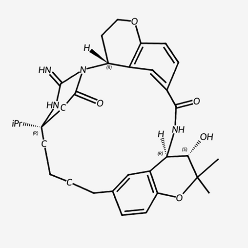 CC(C)[C@]12CCCCc3ccc4c(c3)[C@@H](NC(=O)c3ccc5c(c3)[C@@H](CCO5)N(C(=N)N1)C(=O)C2)[C@H](O)C(C)(C)O4